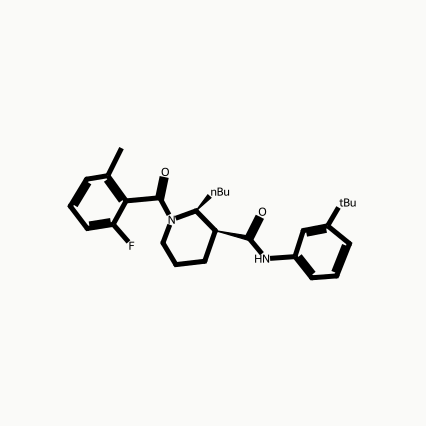 CCCC[C@H]1[C@@H](C(=O)Nc2cccc(C(C)(C)C)c2)CCCN1C(=O)c1c(C)cccc1F